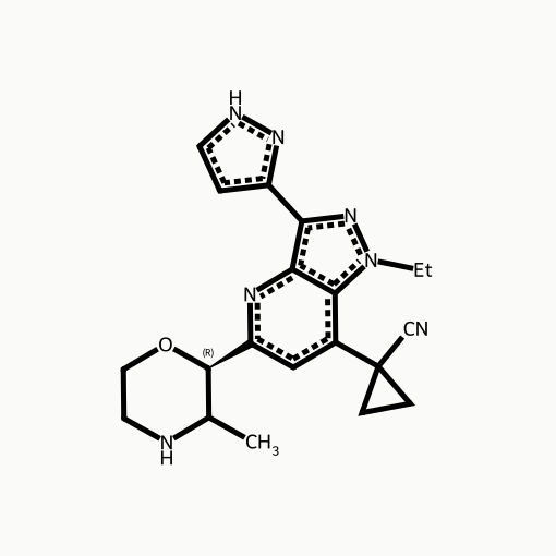 CCn1nc(-c2cc[nH]n2)c2nc([C@@H]3OCCNC3C)cc(C3(C#N)CC3)c21